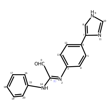 O=C/C(=N\c1ccc(-c2c[nH]cn2)cc1)Nc1ccccc1